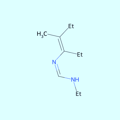 CCN/C=N\C(CC)=C(/C)CC